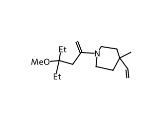 C=CC1(C)CCN(C(=C)CC(CC)(CC)OC)CC1